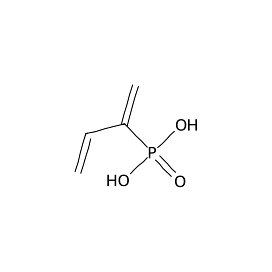 C=CC(=C)P(=O)(O)O